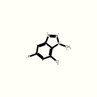 Cn1nnc2cc(F)cc(Cl)c21